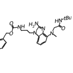 CN(CC(=O)NC(C)(C)C)c1cccc2c1nc(N)n2CCCNC(=O)OCc1ccccc1